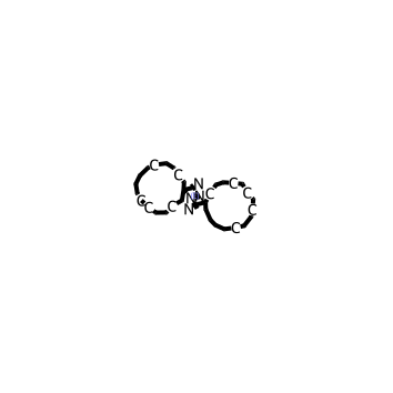 N#CC1(/N=N/C2(C#N)CCCCCCCCCCCCCCC2)CCCCCCCCCCCCCCC1